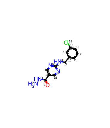 NNC(=O)c1cnc(NCc2cccc(Cl)c2)nc1